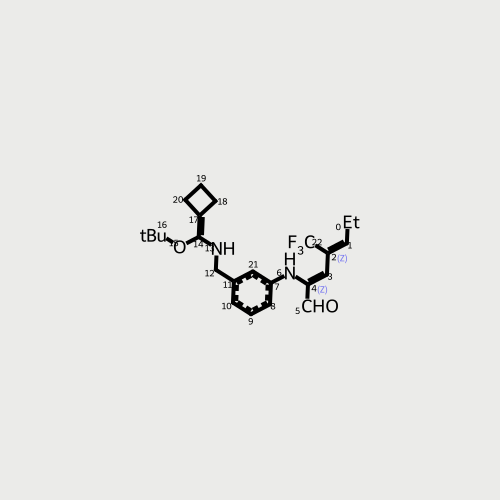 CC/C=C(/C=C(/C=O)Nc1cccc(CNC(OC(C)(C)C)=C2CCC2)c1)C(F)(F)F